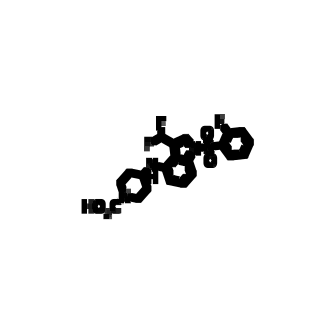 O=C(O)N1CCC(Nc2cccc3c2c(C(F)F)cn3S(=O)(=O)c2ccccc2F)CC1